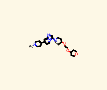 CC(=O)N1CC=C(c2ccn3c(N4CCC(OCCOC5CCOCC5)CC4)cnc3c2)CC1